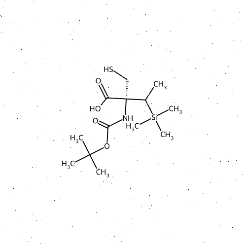 CC([C@@](CS)(NC(=O)OC(C)(C)C)C(=O)O)[Si](C)(C)C